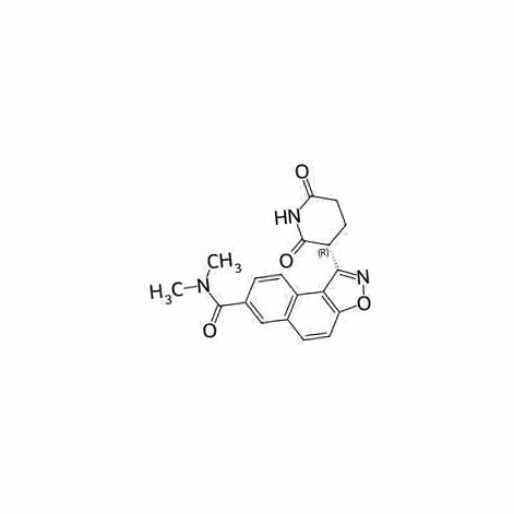 CN(C)C(=O)c1ccc2c(ccc3onc([C@H]4CCC(=O)NC4=O)c32)c1